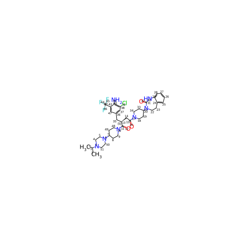 CC(C)N1CCN(C2CCN(C(=O)[C@H](CC(=O)N3CCC(N4CCc5ccccc5NC4=O)CC3)Cc3cc(Cl)c(N)c(C(F)(F)F)c3)CC2)CC1